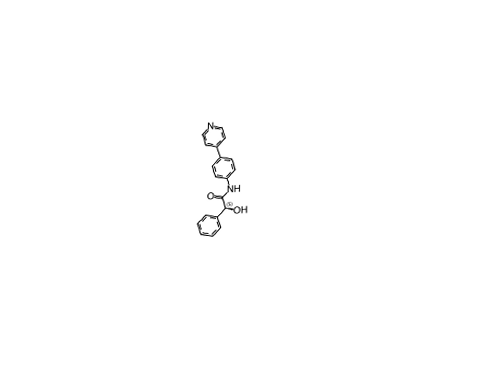 O=C(Nc1ccc(-c2ccncc2)cc1)[C@@H](O)c1ccccc1